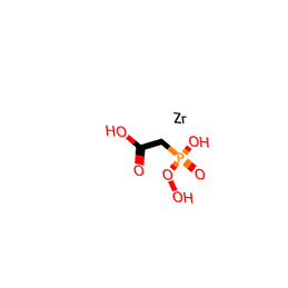 O=C(O)CP(=O)(O)OO.[Zr]